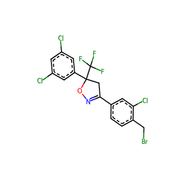 FC(F)(F)C1(c2cc(Cl)cc(Cl)c2)CC(c2ccc(CBr)c(Cl)c2)=NO1